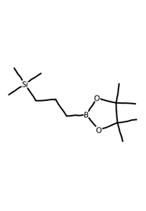 CC1(C)OB(CCC[Si](C)(C)C)OC1(C)C